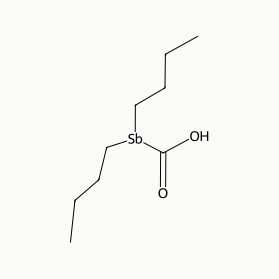 CCC[CH2][Sb]([CH2]CCC)[C](=O)O